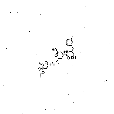 CCOP(=O)(CC(=O)NCCCCC(NC(=O)O)C(=O)N[C@H](CO)Cc1cccc(C)c1)OCC